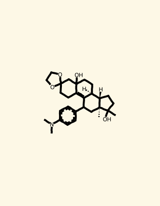 CN(C)c1ccc(C2C[C@@]3(C)[C@@H](CCC3(C)O)[C@@H]3CCC4(O)CC5(CCC4=C23)OCCO5)cc1